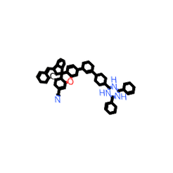 N#CC1=CC2OC3CC(C4C=C(C5CCC(C6NC(C7C=CCCC7)NC(C7C=CCCC7)N6)CC5)CCC4)C=CC3C3(C2CC1)C1CCC=CC1C1C=C2C=CCCC2CC13